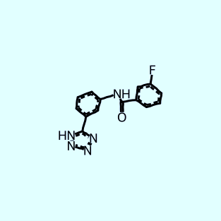 O=C(Nc1cccc(-c2nnn[nH]2)c1)c1cccc(F)c1